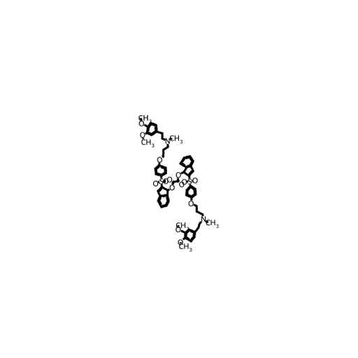 COc1ccc(CCN(C)CCCOc2ccc(S(=O)(=O)C3=Cc4ccccc4C3OC(=O)C(=O)OC3C(S(=O)(=O)c4ccc(OCCCN(C)CCc5ccc(OC)c(OC)c5)cc4)=Cc4ccccc43)cc2)cc1OC